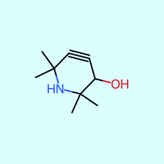 CC1(C)C#CC(O)C(C)(C)N1